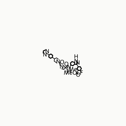 COC(=O)c1cc(-c2n[nH]c3ccc(NC(=O)[C@]4(SC)CCN(CC(=O)N5CCC(c6ccc(-c7ncccn7)cc6)CC5)C4)cc23)ccc1F